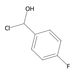 OC(Cl)c1ccc(F)cc1